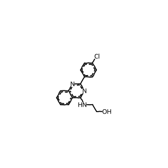 OCCNc1nc(-c2ccc(Cl)cc2)nc2ccccc12